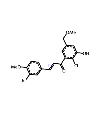 COCc1cc(O)c(Cl)c(C(=O)/C=C/c2ccc(OC)c(Br)c2)c1